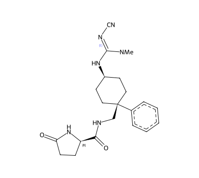 CN/C(=N\C#N)N[C@H]1CC[C@](CNC(=O)[C@H]2CCC(=O)N2)(c2ccccc2)CC1